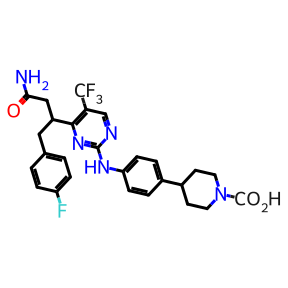 NC(=O)CC(Cc1ccc(F)cc1)c1nc(Nc2ccc(C3CCN(C(=O)O)CC3)cc2)ncc1C(F)(F)F